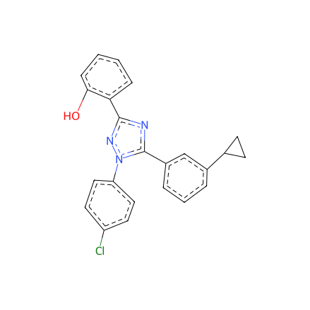 Oc1ccccc1-c1nc(-c2cccc(C3CC3)c2)n(-c2ccc(Cl)cc2)n1